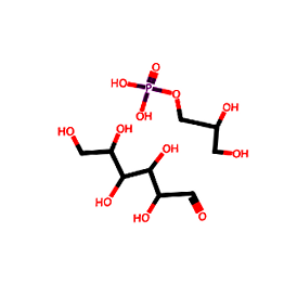 O=CC(O)C(O)C(O)C(O)CO.O=P(O)(O)OCC(O)CO